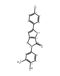 Cc1cc(N2Cc3cc(-c4ccc(Cl)cc4)sc3C2=O)ccc1O